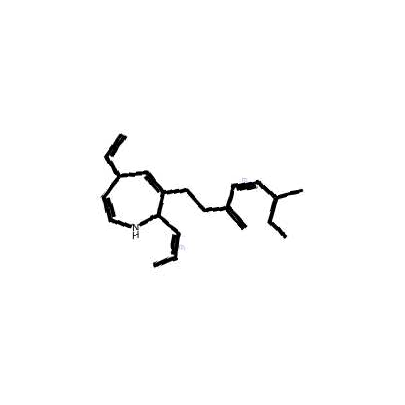 C=CC1C=CNC(/C=C\C)C(CCC(=C)/C=C\C(C)CC)=C1